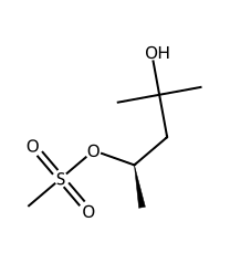 C[C@H](CC(C)(C)O)OS(C)(=O)=O